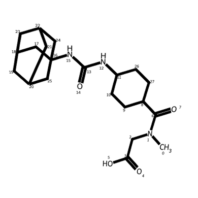 CN(CC(=O)O)C(=O)C1CCC(NC(=O)NC23CC4CC(CC(C4)C2)C3)CC1